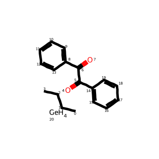 CCCC.O=C(C(=O)c1ccccc1)c1ccccc1.[GeH4]